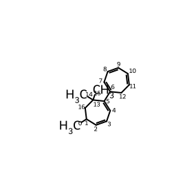 CC1C=CC=C(C2=CC=CC=CC2)C(C)(C)C1